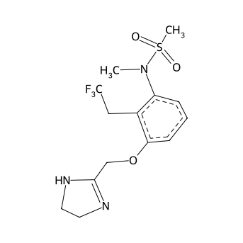 CN(c1cccc(OCC2=NCCN2)c1CC(F)(F)F)S(C)(=O)=O